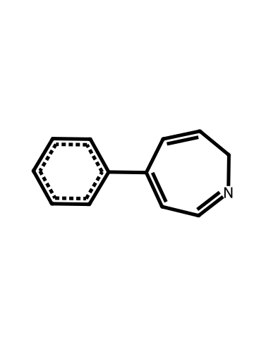 C1=CC(c2ccccc2)=CC=NC1